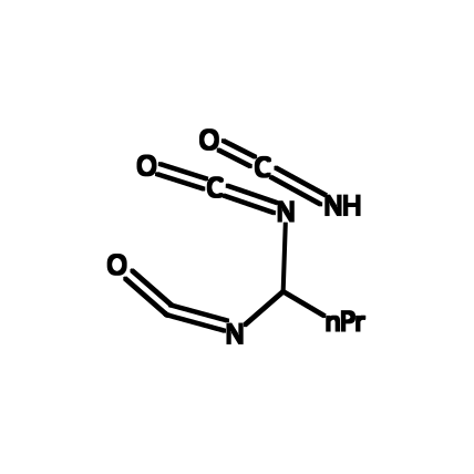 CCCC(N=C=O)N=C=O.N=C=O